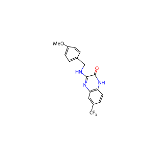 COc1ccc(CNc2nc3cc(C(F)(F)F)ccc3[nH]c2=O)cc1